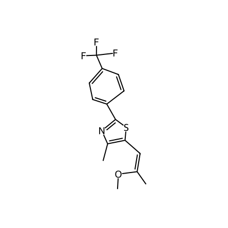 COC(C)=Cc1sc(-c2ccc(C(F)(F)F)cc2)nc1C